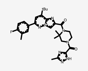 Cc1n[nH]c(C(=O)N2CCN(C(=O)c3cn4nc(-c5ccc(F)c(C)c5)cc(C(C)(C)C)c4n3)C(C)(C)C2)n1